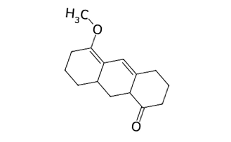 COC1=C2C=C3CCCC(=O)C3CC2CCC1